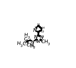 Cc1nc(NCC(C)(C)C)nc(-c2ccccn2)n1